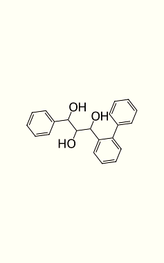 OC(c1ccccc1)C(O)C(O)c1ccccc1-c1ccccc1